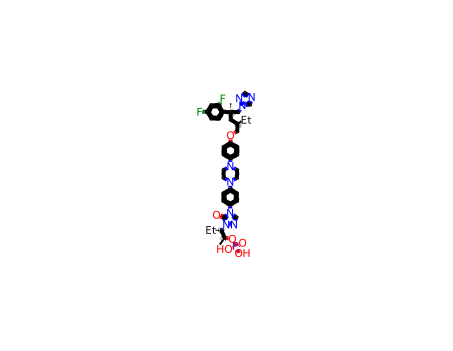 CC[C@@H](COc1ccc(N2CCN(c3ccc(-n4cnn([C@@H](CC)[C@H](C)OP(=O)(O)O)c4=O)cc3)CC2)cc1)C[C@](C)(Cn1cncn1)c1ccc(F)cc1F